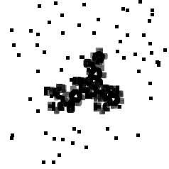 CCN(CC)CCN(C)C(=O)c1ccc(Nc2ncc(C(=O)Nc3c(C)cccc3C)c(Oc3ccc(C(=O)N4CCCC4)cc3OC)n2)cc1